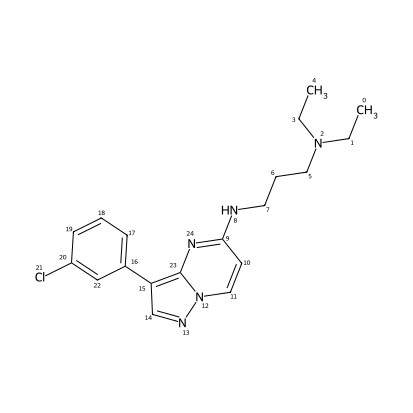 CCN(CC)CCCNc1ccn2ncc(-c3cccc(Cl)c3)c2n1